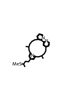 CSC(C)CCc1cc2nc(c1)CC(C)CCc1ccnc(c1)-c1ncccc1CCCC(C)C2